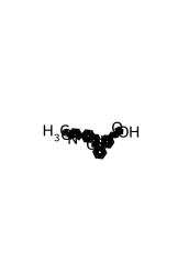 COc1ccc(-c2ccc(CN(C(=O)C3CCCCC3)c3cccc(C=CC(=O)O)c3)cc2)cn1